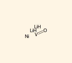 [LiH].[LiH].[Ni].[O]=[V]